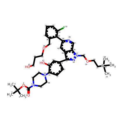 CC(C)(C)OC(=O)N1CCN(c2ccc(-c3nn(COCC[Si](C)(C)C)c4cnc(-c5c(F)cccc5COCCCO)cc34)cc2O)CC1